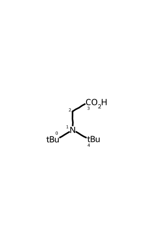 CC(C)(C)N(CC(=O)O)C(C)(C)C